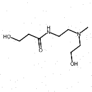 CN(CCO)CCNC(=O)CCO